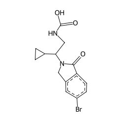 O=C(O)NCC(C1CC1)N1Cc2cc(Br)ccc2C1=O